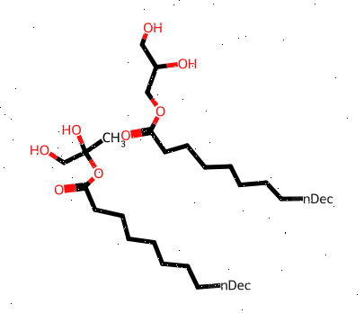 CCCCCCCCCCCCCCCCCC(=O)OC(C)(O)CO.CCCCCCCCCCCCCCCCCC(=O)OCC(O)CO